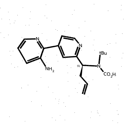 C=CC[C@@H](c1cc(-c2ncccc2N)ccn1)N(C(=O)O)C(C)(C)C